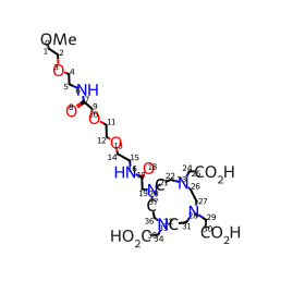 COCCOCCNC(=O)COCCOCCNC(=O)CN1CCN(CC(=O)O)CCN(CC(=O)O)CCN(CC(=O)O)CC1